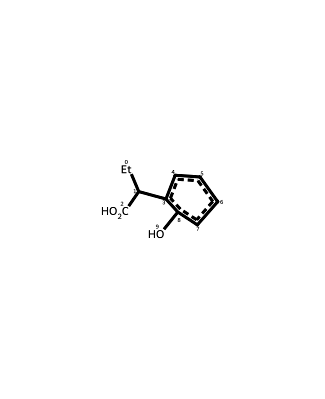 CCC(C(=O)O)c1ccccc1O